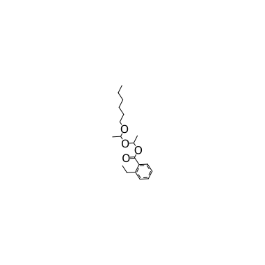 CCCCCCOC(C)OC(C)OC(=O)c1ccccc1CC